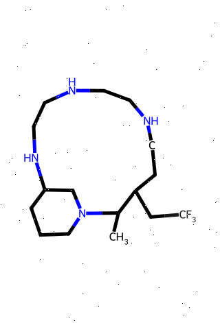 CC1C(CC(F)(F)F)CCNCCNCCNC2CCCN1C2